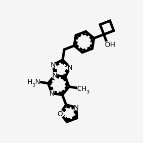 Cc1c(-c2ncco2)nc(N)n2nc(Cc3ccc(C4(O)CCC4)cc3)nc12